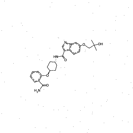 CC(C)(O)COc1ccc2c(C(=O)N[C@H]3CC[C@H](Oc4ccccc4C(N)=O)CC3)cnn2c1